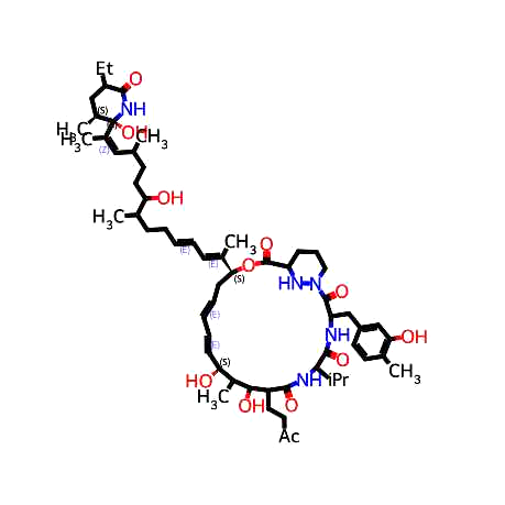 CCC1C[C@H](C)[C@@](O)(/C(C)=C\C(C)CCC(O)C(C)CC/C=C/C=C(\C)[C@@H]2C/C=C/C=C/[C@H](O)C(C)C(O)C(CCC(C)=O)C(=O)NC(C(C)C)C(=O)NC(Cc3ccc(C)c(O)c3)C(=O)N3CCCC(N3)C(=O)O2)NC1=O